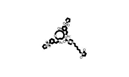 CC(=O)/C(=C/c1cccc(S(=O)(=O)N2CCCC2)c1)[C@@H]1/C=C/[C@@H](OC(=O)N2CCN(CCCCCCN3C(=O)C=CC3=O)CC2)[C@H](/C(=C\c2cccc(S(=O)(=O)N3CCCC3)c2)C(C)=O)CC[C@@H](O)CCOC1